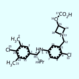 Cc1cc([C@H](Nc2ccc(Cl)c(CN3CC(OC(=O)O)C3)c2)C(C)C)cc(C)c1Cl